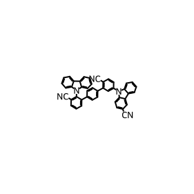 N#Cc1ccc2c(c1)c1ccccc1n2-c1ccc(C#N)c(-c2ccc(-c3cccc(C#N)c3-n3c4ccccc4c4ccccc43)cc2)c1